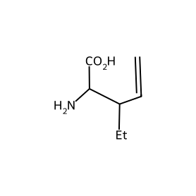 C=CC(CC)C(N)C(=O)O